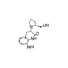 [NH]c1cccc2c1NC(=O)C(N1CCC[C@H]1CO)C2